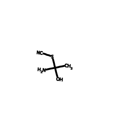 CC(N)(O)SC#N